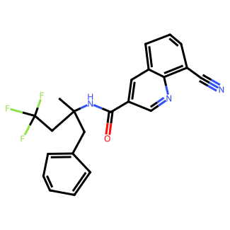 CC(Cc1ccccc1)(CC(F)(F)F)NC(=O)c1cnc2c(C#N)cccc2c1